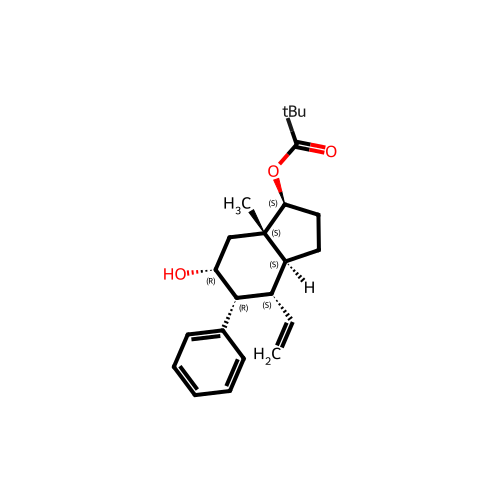 C=C[C@@H]1[C@H](c2ccccc2)[C@H](O)C[C@]2(C)[C@@H](OC(=O)C(C)(C)C)CC[C@@H]12